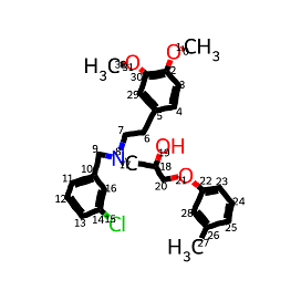 COc1ccc(CCN(Cc2cccc(Cl)c2)CC(O)COc2cccc(C)c2)cc1OC